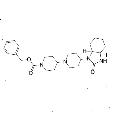 O=C(OCc1ccccc1)N1CCC(N2CCC(N3C(=O)N[C@@H]4CCCC[C@@H]43)CC2)CC1